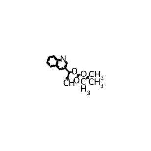 C#CC(OC(=O)OC(C)(C)C)c1cnc2ccccc2c1